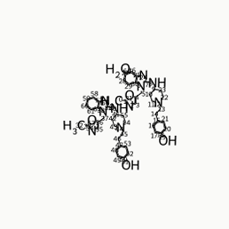 Cc1ncc(Cn2c(NC3CCN(CCc4ccc(O)cc4)CC3)nc3ccccc32)o1.Cc1ncc(Cn2c(NC3CCN(CCc4ccc(O)cc4)CC3)nc3ccccc32)o1.O